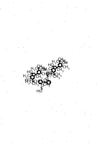 CC(C)(c1ccccc1OCCO)c1ccccc1OCCO.Cc1cc(C(C)(CC(=O)O)c2cc(C)c(O)c(C(C)(C)C)c2)cc(C(C)(C)C)c1O.Cc1cc(C(C)(CC(=O)O)c2cc(C)c(O)c(C(C)(C)C)c2)cc(C(C)(C)C)c1O